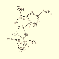 CCc1cnc(C(=O)NC(C)(C(N)=O)C(C)C)c(C(=O)O)c1